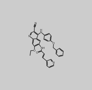 CCOc1cc2ncc(C#N)c(Nc3ccc(OCc4ccccc4)cc3)c2cc1NC(=O)/C=C/c1cccnc1